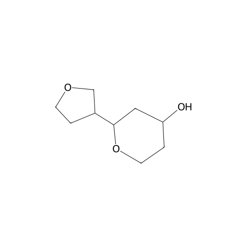 OC1CCOC(C2CCOC2)C1